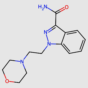 NC(=O)c1nn(CCN2CCOCC2)c2ccccc12